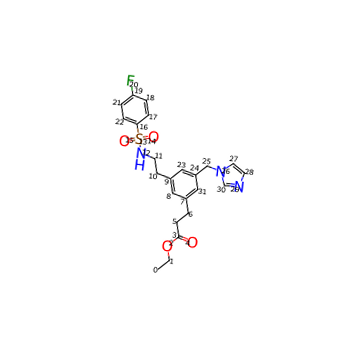 CCOC(=O)CCc1cc(CCNS(=O)(=O)c2ccc(F)cc2)cc(Cn2ccnc2)c1